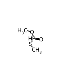 CO[PH](=O)SC